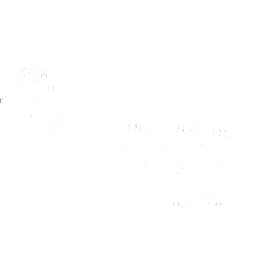 CCC(C(=O)O)S(=O)(=O)c1ccc(/C=C(\C)c2ccc3c(c2)C(C)(C)CCC3(C)C)cc1